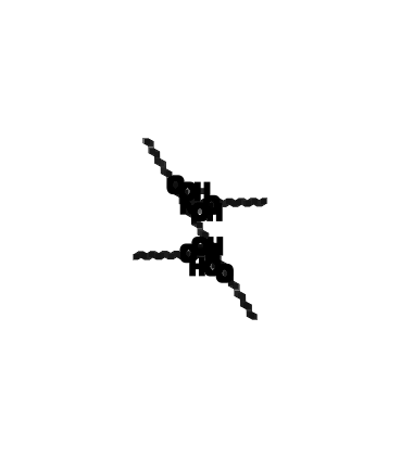 CCCCCCCCCOCC(O)CN(CCCCCCCCN(CC(O)COCCCCCCCCC)CC(O)COCCCCCCCCC)CC(O)COCCCCCCCCC